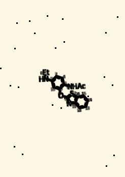 CCNc1ccc(NC(C)=O)c(Oc2nc3ccccc3s2)c1